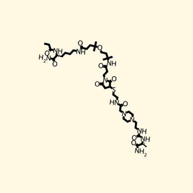 CCC(=O)N[C@@H](CCCCNC(=O)CCC(C)(C)OCCC(C)(C)NC(=O)CCN1C(=O)CC(SCCNC(=O)CN2CCN(CCNC(=O)N[C@@H](C)C(N)=O)CC2)C1=O)C(N)=O